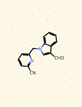 N#Cc1cccc(Cn2cc(C=O)c3ccccc32)n1